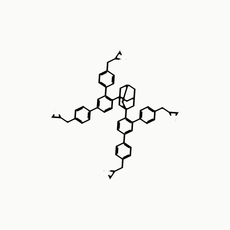 c1cc(-c2ccc(C34CC5CC(C3)CC(c3ccc(-c6ccc(CC7CO7)cc6)cc3-c3ccc(CC6CO6)cc3)(C5)C4)c(-c3ccc(CC4CO4)cc3)c2)ccc1CC1CO1